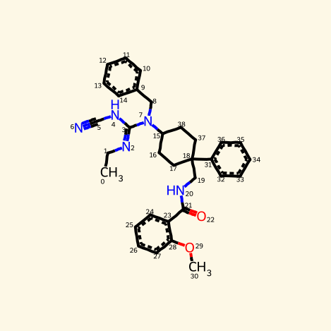 CC/N=C(\NC#N)N(Cc1ccccc1)C1CCC(CNC(=O)c2ccccc2OC)(c2ccccc2)CC1